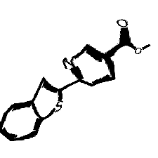 COC(=O)c1ccc(-c2cc3ccccc3s2)nc1